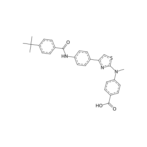 CN(c1ccc(C(=O)O)cc1)c1nc(-c2ccc(NC(=O)c3ccc(C(C)(C)C)cc3)cc2)cs1